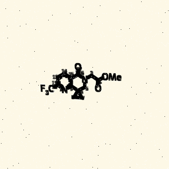 COC(=O)CN1CC2(CC2)c2nc(C(F)(F)F)ccc2C1=O